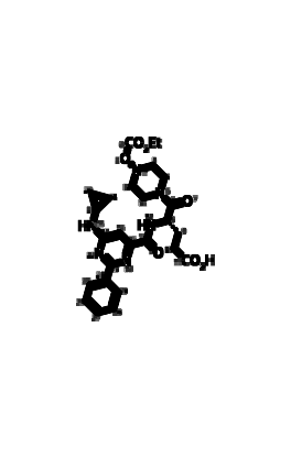 CCOC(=O)ON1CCN(C(=O)[C@H](CCC(=O)O)NC(=O)c2cc(NC3CC3)nc(-c3ccccc3)n2)CC1